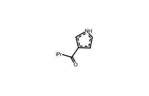 CC(C)C(=O)c1cc[nH]c1